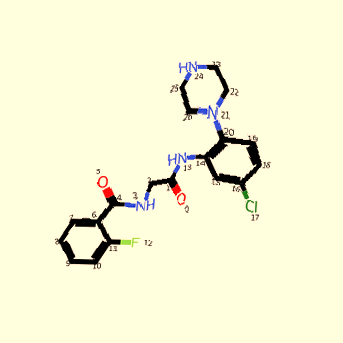 O=C(CNC(=O)c1ccccc1F)Nc1cc(Cl)ccc1N1CCNCC1